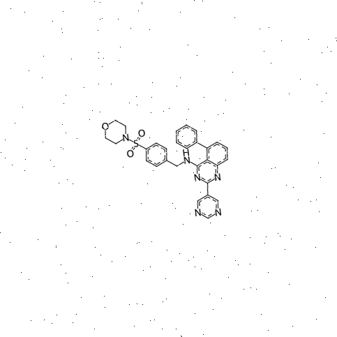 O=S(=O)(c1ccc(CNc2nc(-c3cncnc3)nc3cccc(-c4ccccc4)c23)cc1)N1CCOCC1